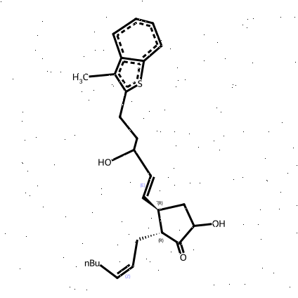 CCCC/C=C\C[C@H]1C(=O)C(O)C[C@@H]1/C=C/C(O)CCc1sc2ccccc2c1C